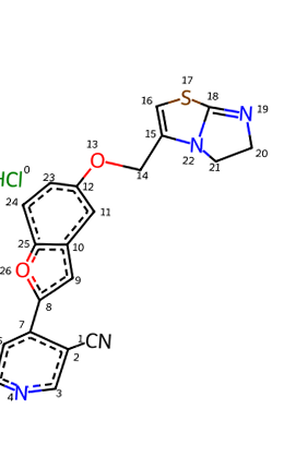 Cl.N#Cc1cnccc1-c1cc2cc(OCC3=CSC4=NCCN34)ccc2o1